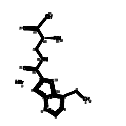 Br.CCc1ccnc2cc(C(=O)NC[C@@H](N)C(=O)O)sc12